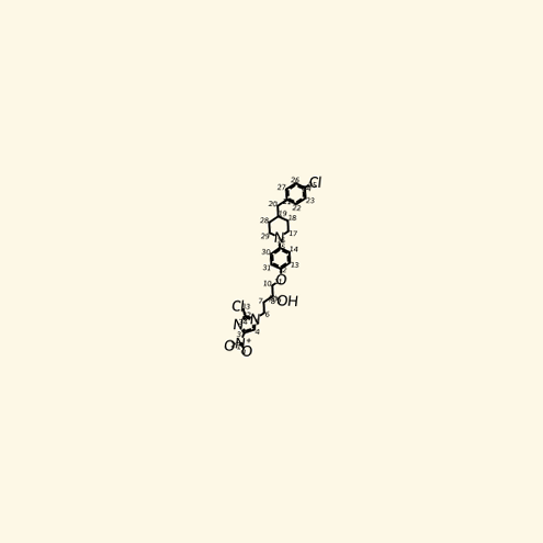 O=[N+]([O-])c1cn(CC[C@@H](O)COc2ccc(N3CCC(Cc4ccc(Cl)cc4)CC3)cc2)c(Cl)n1